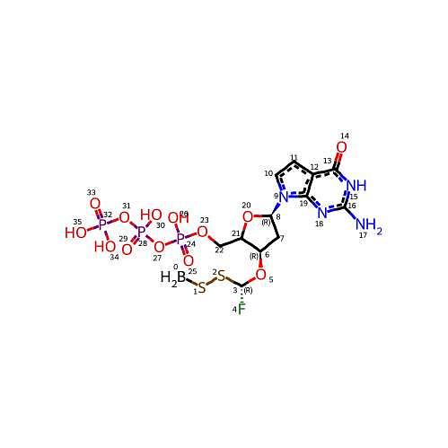 BSS[C@@H](F)O[C@@H]1C[C@H](n2ccc3c(=O)[nH]c(N)nc32)OC1COP(=O)(O)OP(=O)(O)OP(=O)(O)O